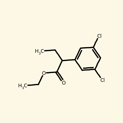 CCOC(=O)C(CC)c1cc(Cl)cc(Cl)c1